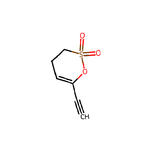 C#CC1=CCCS(=O)(=O)O1